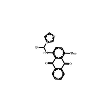 CCC(Nc1ccc(NC)c2c1C(=O)c1ccccc1C2=O)n1ccnc1